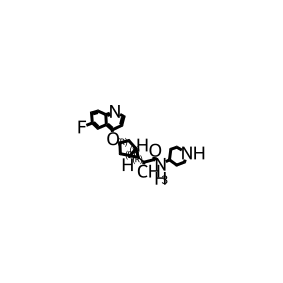 CC(C(=O)NC1CCNCC1)[C@H]1[C@@H]2C[C@H](Oc3ccnc4ccc(F)cc34)C[C@@H]21